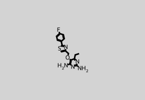 CCc1nc(N)nc(N)c1OCc1csc(-c2ccc(F)cc2)n1